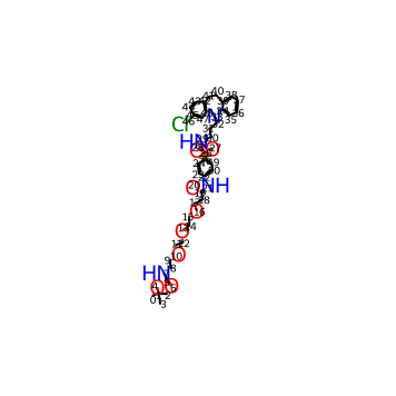 CC(C)(C)OC(=O)NCCOCCOCCOCCC(=O)Nc1ccc(S(=O)(=O)NCCCN2c3ccccc3CCc3ccc(Cl)cc32)cc1